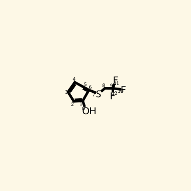 Oc1ccccc1SCC(F)(F)F